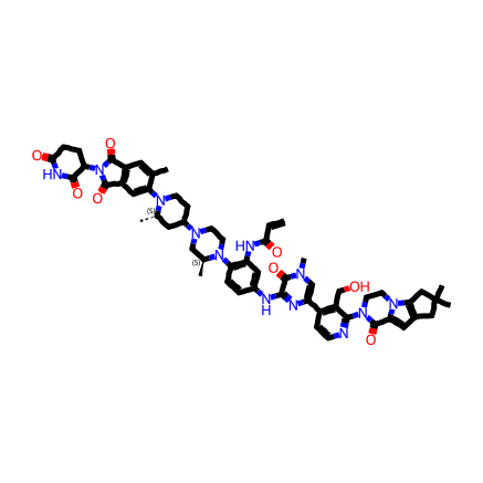 C=CC(=O)Nc1cc(Nc2nc(-c3ccnc(N4CCn5c(cc6c5CC(C)(C)C6)C4=O)c3CO)cn(C)c2=O)ccc1N1CCN(C2CCN(c3cc4c(cc3C)C(=O)N(C3CCC(=O)NC3=O)C4=O)[C@@H](C)C2)C[C@@H]1C